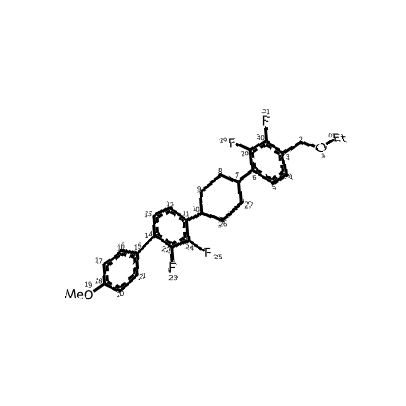 CCOCc1ccc(C2CCC(c3ccc(-c4ccc(OC)cc4)c(F)c3F)CC2)c(F)c1F